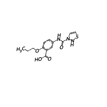 CCCOc1ccc(NC(=O)N2C=CSN2)cc1C(=O)O